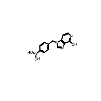 OB(O)c1ccc(Cn2cnc3c(O)nccc32)cc1